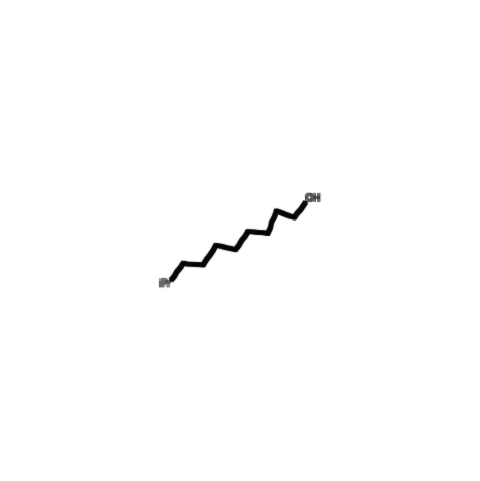 CC(C)CCCCCCC[CH]O